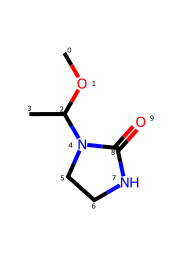 COC(C)N1CCNC1=O